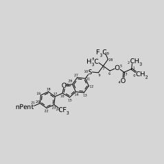 C=C(C)C(=O)OCC(C)(CSc1ccc2cc(-c3ccc(CCCCC)cc3C(F)(F)F)oc2c1)CC(F)(F)F